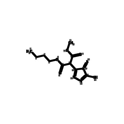 CCCCOC(=O)C(C(=O)OC)C1=NN=C(S)S1=S